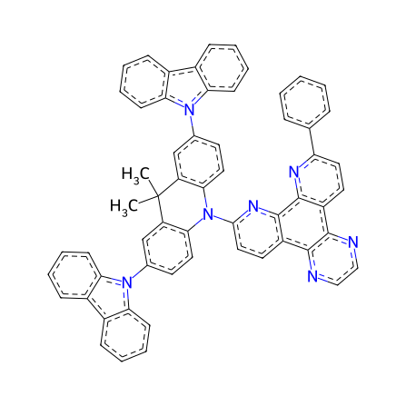 CC1(C)c2cc(-n3c4ccccc4c4ccccc43)ccc2N(c2ccc3c4nccnc4c4ccc(-c5ccccc5)nc4c3n2)c2ccc(-n3c4ccccc4c4ccccc43)cc21